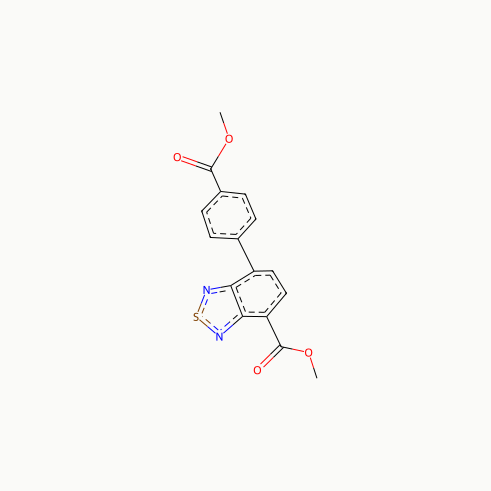 COC(=O)c1ccc(-c2ccc(C(=O)OC)c3nsnc23)cc1